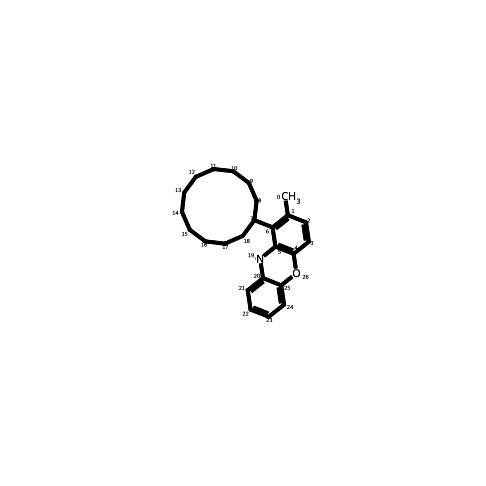 Cc1ccc2c(c1C1CCCCCCCCCCC1)[N]c1ccccc1O2